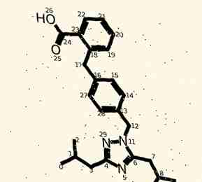 CC(C)Cc1nc(CC(C)C)n(Cc2ccc(Cc3ccccc3C(=O)O)cc2)n1